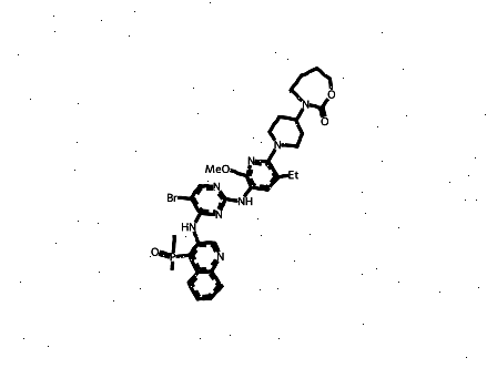 CCc1cc(Nc2ncc(Br)c(Nc3cnc4ccccc4c3P(C)(C)=O)n2)c(OC)nc1N1CCC(N2CCCCOC2=O)CC1